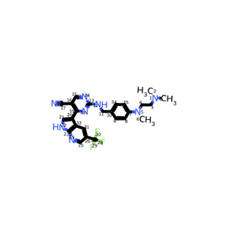 CN(C)CCN(C)c1ccc(CNc2ncc(C#N)c(-c3c[nH]c4ncc(C(F)(F)F)cc34)n2)cc1